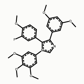 COc1cc(OC)cc(-c2ncn(-c3cc(OC)c(OC)c(OC)c3)c2-c2ccc(OC)c(F)c2)c1